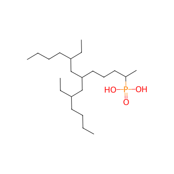 CCCCC(CC)CC(CCCC(C)P(=O)(O)O)CC(CC)CCCC